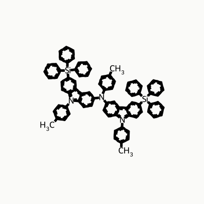 Cc1ccc(N(c2ccc3c(c2)c2cc([Si](c4ccccc4)(c4ccccc4)c4ccccc4)ccc2n3-c2ccc(C)cc2)c2ccc3c(c2)c2cc([Si](c4ccccc4)(c4ccccc4)c4ccccc4)ccc2n3-c2ccc(C)cc2)cc1